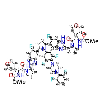 COC(=O)N[C@H](C(=O)N1CCCC1c1nc2cc([C@H]3CC[C@H](c4cc5nc([C@@H]6CCCN6C(=O)[C@@H](NC(=O)OC)C6CCOCC6)[nH]c5cc4F)N3c3cc(F)c(N4CCN(c5c(F)cccc5F)CC4)c(F)c3)c(F)cc2[nH]1)C1CCOCC1